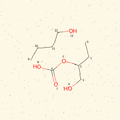 CCC(CO)OC(=O)O.CCCCO